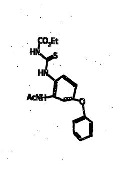 CCOC(=O)NC(=S)Nc1ccc(Oc2ccccc2)cc1NC(C)=O